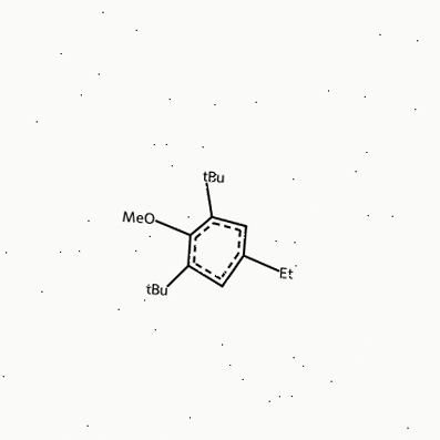 CCc1cc(C(C)(C)C)c(OC)c(C(C)(C)C)c1